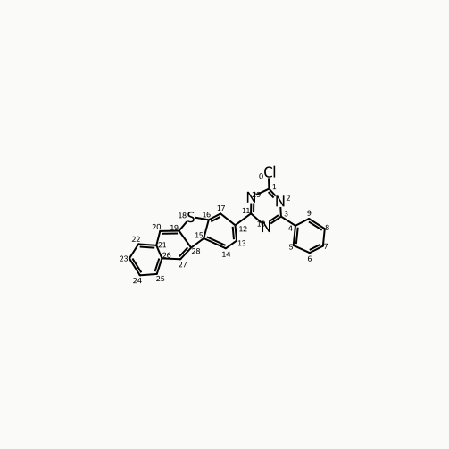 Clc1nc(-c2ccccc2)nc(-c2ccc3c(c2)sc2cc4ccccc4cc23)n1